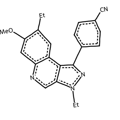 CCc1cc2c(cc1OC)ncc1c2c(-c2ccc(C#N)cc2)nn1CC